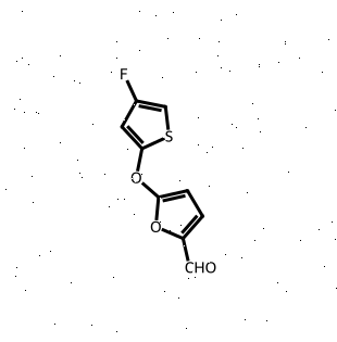 O=Cc1ccc(Oc2cc(F)cs2)o1